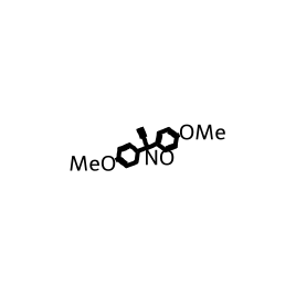 C#CC(N=O)(c1ccc(OC)cc1)C1C=CC(OC)=CC1